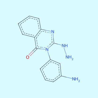 NNc1nc2ccccc2c(=O)n1-c1cccc(N)c1